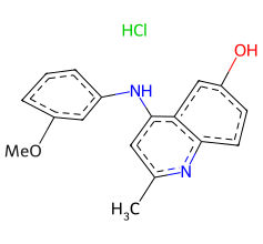 COc1cccc(Nc2cc(C)nc3ccc(O)cc23)c1.Cl